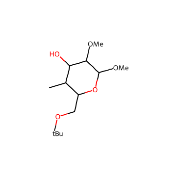 COC1OC(COC(C)(C)C)C(C)C(O)C1OC